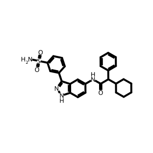 NS(=O)(=O)c1cccc(-c2n[nH]c3ccc(NC(=O)C(c4ccccc4)C4CCCCC4)cc23)c1